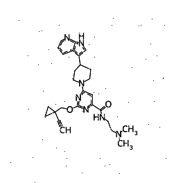 C#CC1(COc2nc(C(=O)NCCN(C)C)cc(N3CCC(c4c[nH]c5ncccc45)CC3)n2)CC1